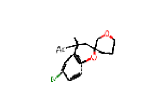 CC(=O)C1(C)CC2(CCCOC2)Oc2ccc(Br)cc21